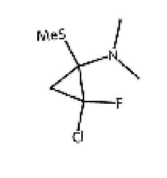 CSC1(N(C)C)CC1(F)Cl